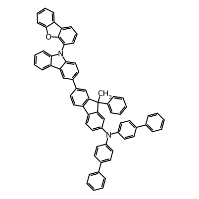 CC1(c2ccccc2)c2cc(-c3ccc4c(c3)c3ccccc3n4-c3cccc4c3oc3ccccc34)ccc2-c2ccc(N(c3ccc(-c4ccccc4)cc3)c3ccc(-c4ccccc4)cc3)cc21